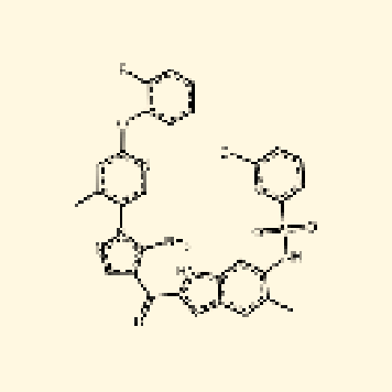 Cc1cc2cc(C(=O)c3cnn(-c4cnc(Oc5ccccc5F)cc4C)c3N)[nH]c2cc1NS(=O)(=O)c1cccc(Cl)n1